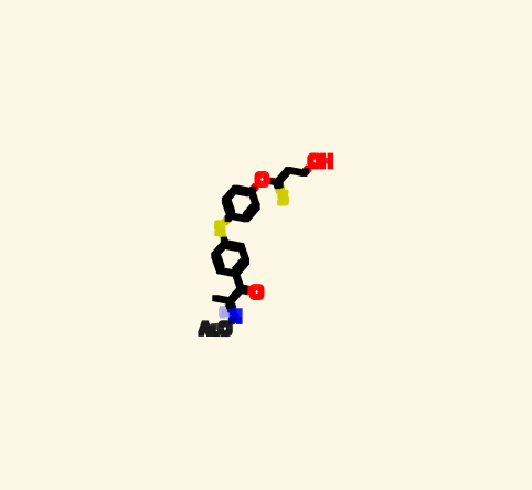 CC(=O)O/N=C(\C)C(=O)c1ccc(Sc2ccc(OC(=S)CCO)cc2)cc1